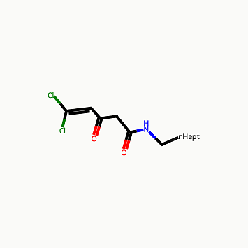 CCCCCCCCNC(=O)CC(=O)C=C(Cl)Cl